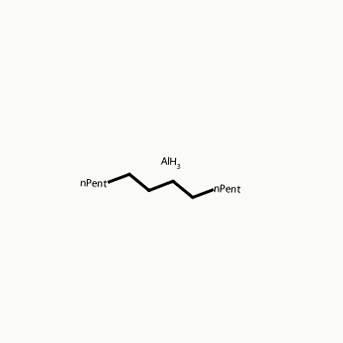 [AlH3].[CH2]CCCCCCCCCCCCC